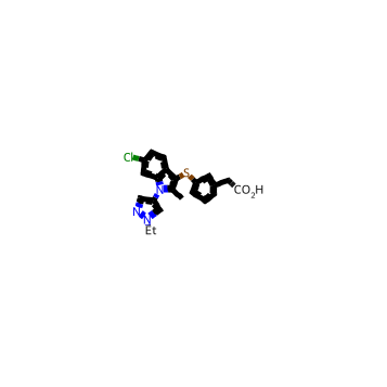 CCn1cc(-n2c(C)c(Sc3cccc(CC(=O)O)c3)c3ccc(Cl)cc32)cn1